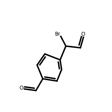 O=Cc1ccc(C(Br)C=O)cc1